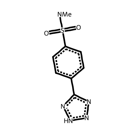 CNS(=O)(=O)c1ccc(-c2nn[nH]n2)cc1